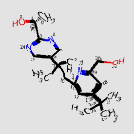 C[C@@H](O)c1ncc(C(C)(C)Cc2cc(C(C)(C)C)cc(CO)n2)cn1